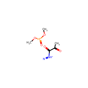 CC(=O)C(=O)[NH+]=[N-].CO[PH](=O)OC